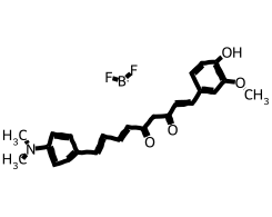 COc1cc(C=CC(=O)CC(=O)C=CC=Cc2ccc(N(C)C)cc2)ccc1O.F[B]F